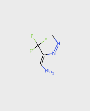 C/N=N\C(=C/N)C(F)(F)F